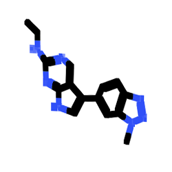 CCNc1ncc2c(-c3ccc4nnn(C)c4c3)c[nH]c2n1